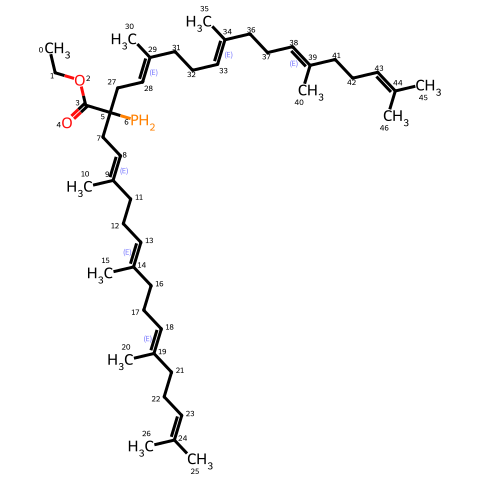 CCOC(=O)C(P)(C/C=C(\C)CC/C=C(\C)CC/C=C(\C)CCC=C(C)C)C/C=C(\C)CC/C=C(\C)CC/C=C(\C)CCC=C(C)C